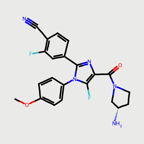 COc1ccc(-n2c(-c3ccc(C#N)c(F)c3)nc(C(=O)N3CC[C@H](N)C3)c2F)cc1